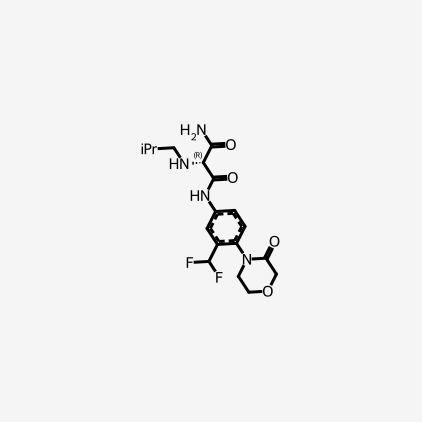 CC(C)CN[C@H](C(N)=O)C(=O)Nc1ccc(N2CCOCC2=O)c(C(F)F)c1